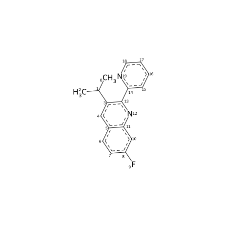 CC(C)c1cc2ccc(F)cc2nc1-c1ccccn1